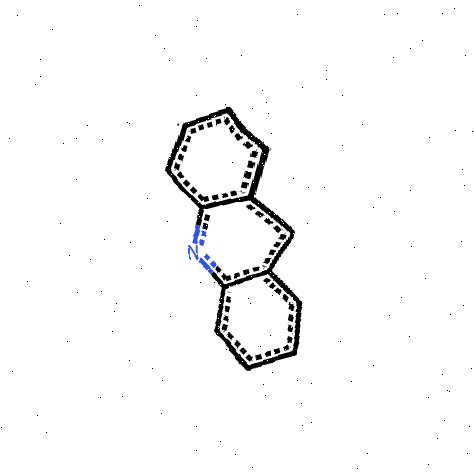 [c]1ccc2cc3ccccc3nc2c1